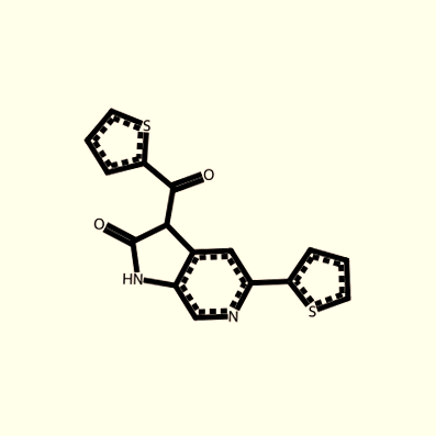 O=C1Nc2cnc(-c3cccs3)cc2C1C(=O)c1cccs1